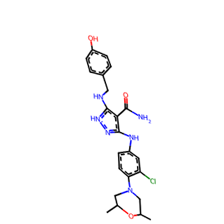 CC1CN(c2ccc(Nc3n[nH]c(NCc4ccc(O)cc4)c3C(N)=O)cc2Cl)CC(C)O1